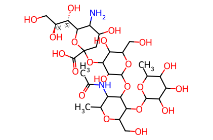 CC(=O)NC1C(C)OC(CO)C(OC2OC(C)C(O)C(O)C2O)C1OC1OC(CO)C(O)C(OC2(C(=O)O)CC(O)C(N)C([C@@H](O)[C@@H](O)CO)O2)C1O